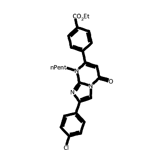 CCCCCn1c(-c2ccc(C(=O)OCC)cc2)cc(=O)n2cc(-c3ccc(Cl)cc3)nc12